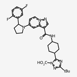 CC(C)(C)c1nc(C2CCC(NC(=O)c3cnn4ccc(N5CCCC5c5cc(F)ccc5F)cc34)CC2)n(C(=O)O)n1